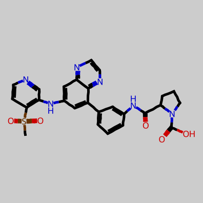 CS(=O)(=O)c1ccncc1Nc1cc(-c2cccc(NC(=O)C3CCCN3C(=O)O)c2)c2nccnc2c1